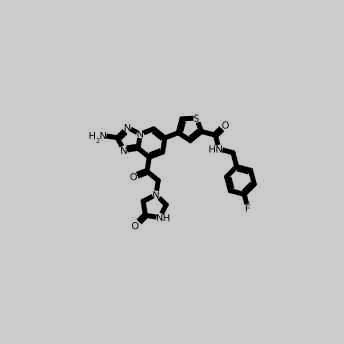 Nc1nc2c(C(=O)CN3CNC(=O)C3)cc(-c3csc(C(=O)NCc4ccc(F)cc4)c3)cn2n1